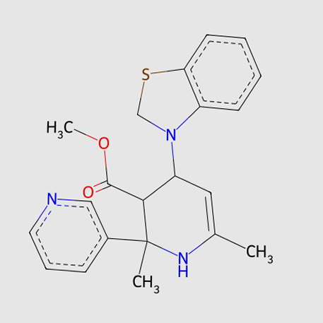 COC(=O)C1C(N2CSc3ccccc32)C=C(C)NC1(C)c1cccnc1